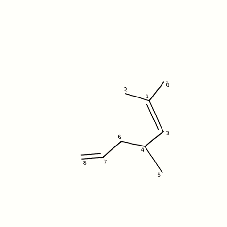 [CH2]C(C)=CC(C)CC=C